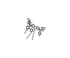 CCCCCCCCC1(c2cc(CCCCCC)cc(CCCCCC)c2)c2cc(N(c3ccc(C)cc3)c3c(C)cc(C)cc3C)ccc2-c2ccc(N(c3ccc(C)cc3)c3c(C)cc(C(C)(C)C)cc3C)cc21